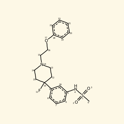 CS(=O)(=O)Nc1cccc(C2(F)CCN(CCOc3ccccc3)CC2)c1